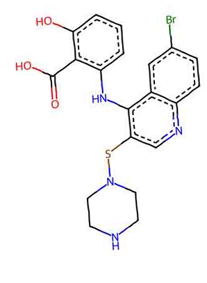 O=C(O)c1c(O)cccc1Nc1c(SN2CCNCC2)cnc2ccc(Br)cc12